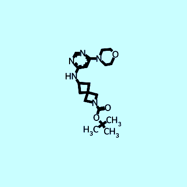 CC(C)(C)OC(=O)N1CC2(CC(Nc3cc(N4CCOCC4)ncn3)C2)C1